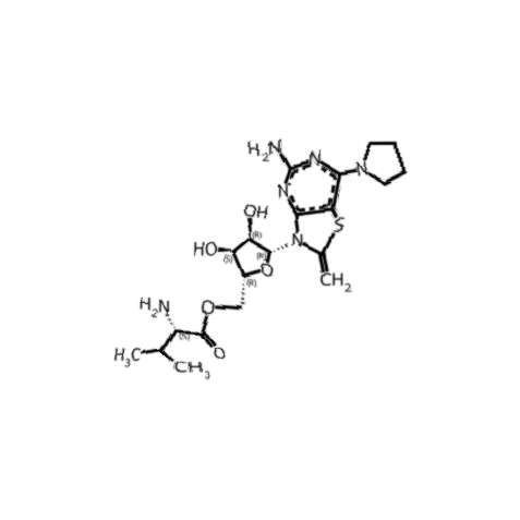 C=C1Sc2c(N3CCCC3)nc(N)nc2N1[C@@H]1O[C@H](COC(=O)[C@@H](N)C(C)C)[C@@H](O)[C@H]1O